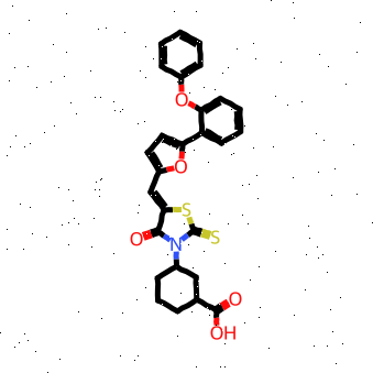 O=C(O)C1CCCC(N2C(=O)C(=Cc3ccc(-c4ccccc4Oc4ccccc4)o3)SC2=S)C1